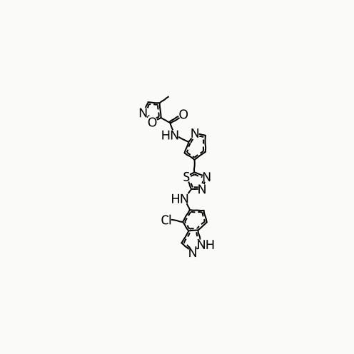 Cc1cnoc1C(=O)Nc1cc(-c2nnc(Nc3ccc4[nH]ncc4c3Cl)s2)ccn1